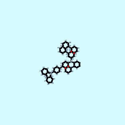 c1ccc(-c2ccccc2N(c2ccc(-c3ccc(-n4c5ccccc5c5ccccc54)cc3)cc2)c2cccc(-c3cccc4cccc(-c5ccccc5)c34)c2)cc1